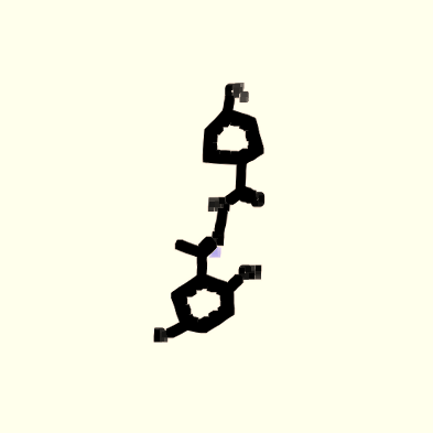 C/C(=N\NC(=O)c1ccc(C(F)(F)F)cc1)c1cc(Br)ccc1O